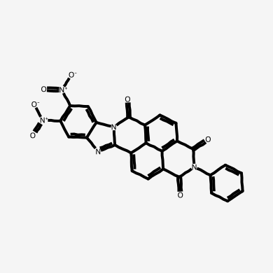 O=C1c2ccc3c(=O)n4c5cc([N+](=O)[O-])c([N+](=O)[O-])cc5nc4c4ccc(c2c34)C(=O)N1c1ccccc1